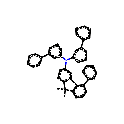 CC1(C)c2ccc(N(c3cccc(-c4ccccc4)c3)c3cccc(-c4ccccc4)c3)cc2-c2c(-c3ccccc3)cccc21